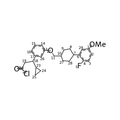 COc1ccc(F)c(C2CCC(COc3cccc(C(CC(=O)Cl)C4CC4)c3)CC2)c1